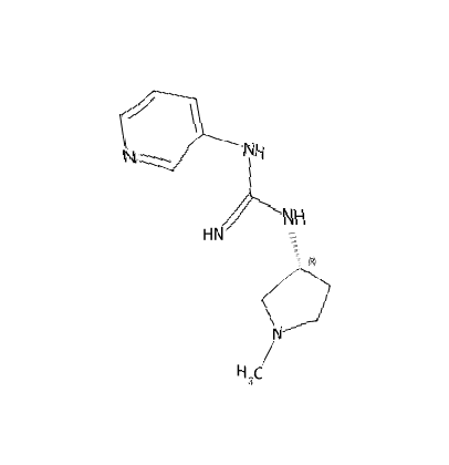 CN1CC[C@@H](NC(=N)Nc2cccnc2)C1